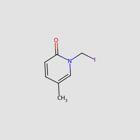 Cc1ccc(=O)n(CI)c1